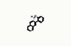 Pc1ccccc1-c1ccc2ccccc2c1